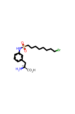 N[C@@H](Cc1cccc(NS(=O)(=O)CCCCCCCCBr)c1)C(=O)O